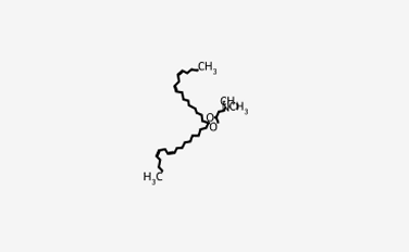 CCCC/C=C\C/C=C\CCCCCCCCC1(CCCCCCCC/C=C\C/C=C\CCCC)OCC(CCN(C)C)O1